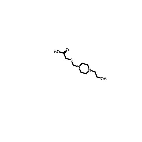 O=C(O)CSCN1CCN(CCO)CC1